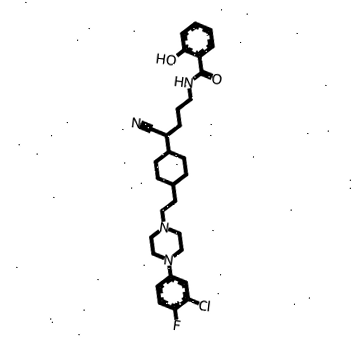 N#CC(CCCNC(=O)c1ccccc1O)C1CCC(CCN2CCN(c3ccc(F)c(Cl)c3)CC2)CC1